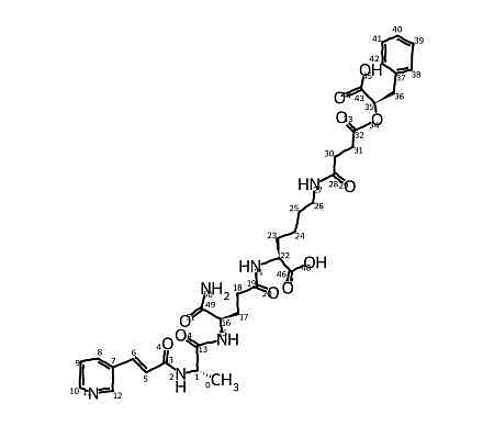 C[C@H](NC(=O)/C=C/c1cccnc1)C(=O)N[C@H](CCC(=O)N[C@@H](CCCCNC(=O)CCC(=O)O[C@H](Cc1ccccc1)C(=O)O)C(=O)O)C(N)=O